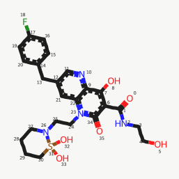 O=C(NCCO)c1c(O)c2ncc(Cc3ccc(F)cc3)cc2n(CCN2CCCCS2(O)O)c1=O